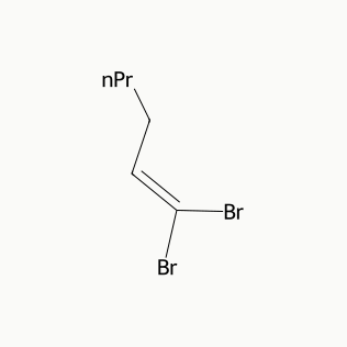 [CH2]CCCC=C(Br)Br